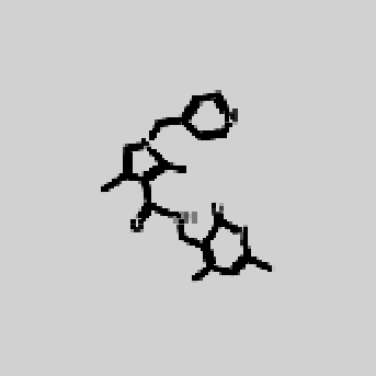 Cc1cc(C)c(CNC(=O)c2c(C)cn(Cc3ccncc3)c2C)c(=O)[nH]1